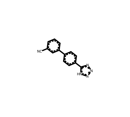 N#Cc1cccc(-c2ccc(-c3nnn[nH]3)cc2)c1